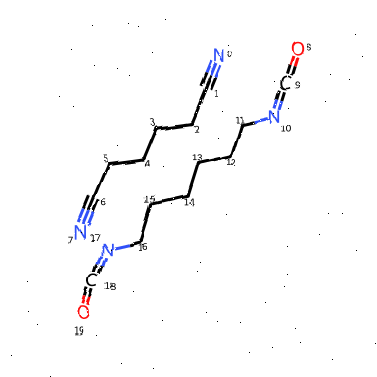 N#CCCCCC#N.O=C=NCCCCCCN=C=O